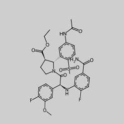 CCOC(=O)[C@@H]1CCN(C(=O)[C@@H](Nc2cc(C(N)=O)ccc2F)c2ccc(F)c(OC)c2)[C@H]1c1cc(NC(C)=O)ccc1S(C)(=O)=O